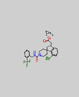 CCOC(=O)CC1CC2(CCN(C(=O)NCc3ccccc3C(F)(F)F)CC2)c2c(Br)cccc21